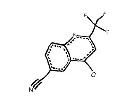 N#Cc1ccc2nc(C(F)(F)F)cc(Cl)c2c1